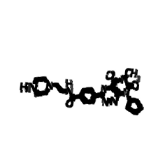 Cn1c(=O)c2nc(-c3ccc(C(=O)NCCN4CCNCC4)cc3)nnc2n(C2CCCC2)c1=O